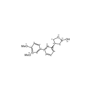 COc1ccc(-c2cccc([C@H]3COB(O)C3)n2)cc1OC